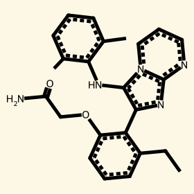 CCc1cccc(OCC(N)=O)c1-c1nc2ncccn2c1Nc1c(C)cccc1C